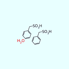 O.O=S(=O)(O)Cc1ccccc1.O=S(=O)(O)Cc1ccccc1